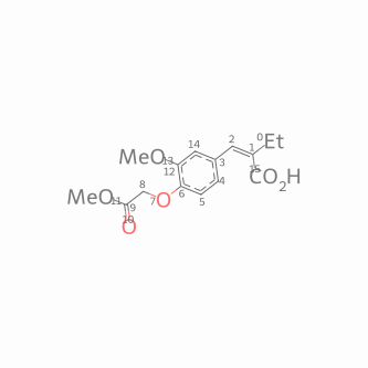 CCC(=Cc1ccc(OCC(=O)OC)c(OC)c1)C(=O)O